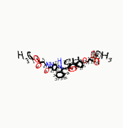 CCOC(=O)CCNC(=O)c1ccc(NC(c2oc3ccc(OCCCS(C)(=O)=O)cc3c2C)C2CCCCC2)cc1